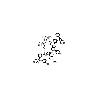 Cc1cccc(-c2nc3n(c2-c2ccnc(-c4nc5c(n4COCC[Si](C)(C)C)CN(C(=O)N4Cc6c(nc(-c7cc(-c8c(-c9cccc(C)n9)nc9n8CCOC9)ccn7)n6COCC[Si](C)(C)C)C4N4CCN(C)CC4)C5N4CCN(C)CC4)c2)CCOC3)n1